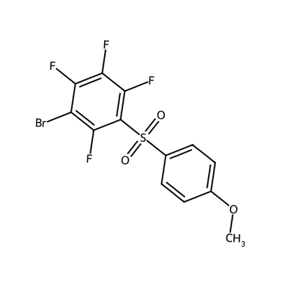 COc1ccc(S(=O)(=O)c2c(F)c(F)c(F)c(Br)c2F)cc1